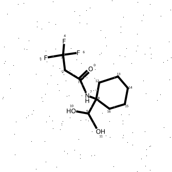 O=C(CC(F)(F)F)NC1(C(O)O)CCCCC1